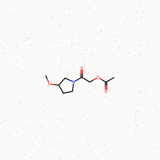 COC1CCN(C(=O)COC(C)=O)C1